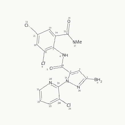 Bc1cc(C(=O)Nc2c(Cl)cc(Cl)cc2C(=O)NC)n(-c2ncccc2Cl)n1